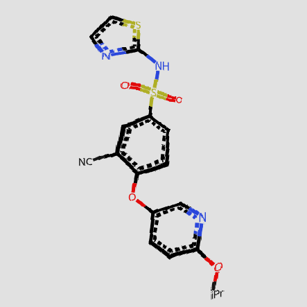 CC(C)Oc1ccc(Oc2ccc(S(=O)(=O)Nc3nccs3)cc2C#N)cn1